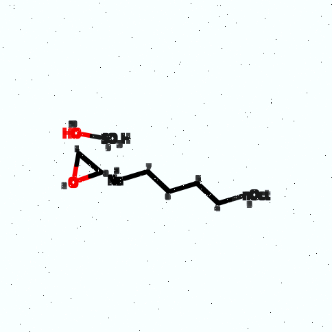 C1CO1.CCCCCCCCCCC[CH2][Na].O=S(=O)(O)O